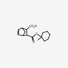 CC1(OC(=O)C2C3C=CC(C3)C2C(=O)O)CCCCC1